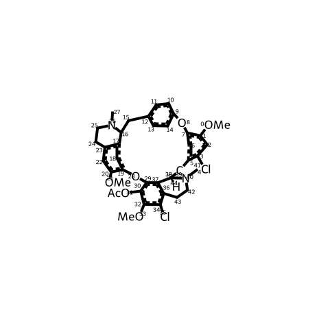 COc1cc(Cl)c2cc1Oc1ccc(cc1)CC1c3cc(c(OC)cc3CCN1C)Oc1c(OC(C)=O)c(OC)c(Cl)c3c1[C@H](C2)N(C)CC3